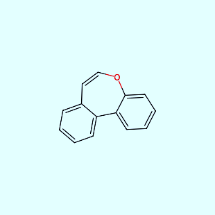 C1=Cc2ccccc2-c2ccccc2O1